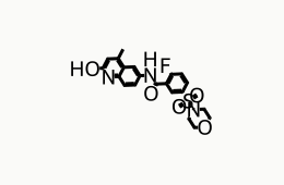 Cc1cc(O)nc2ccc(NC(=O)c3cc(S(=O)(=O)N4CCOCC4)ccc3F)cc12